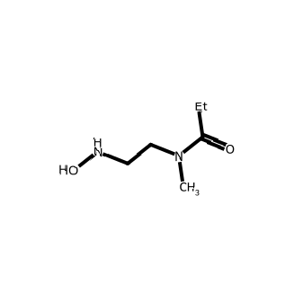 CCC(=O)N(C)CCNO